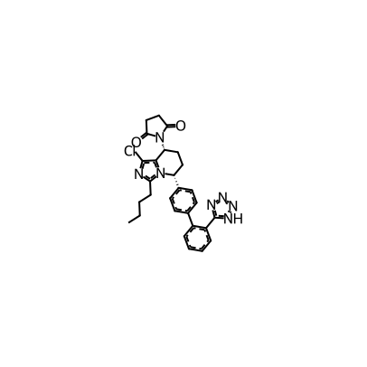 CCCCc1nc(Cl)c2n1[C@@H](c1ccc(-c3ccccc3-c3nnn[nH]3)cc1)CC[C@H]2N1C(=O)CCC1=O